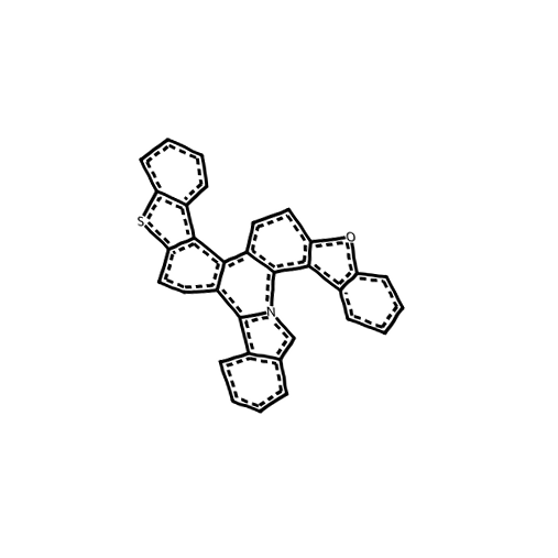 c1ccc2c(c1)cn1c2c2ccc3sc4ccccc4c3c2c2ccc3oc4ccccc4c3c21